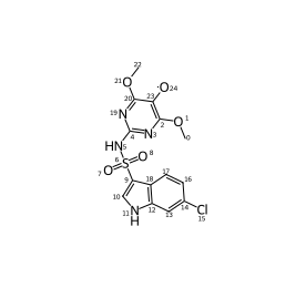 COc1nc(NS(=O)(=O)c2c[nH]c3cc(Cl)ccc23)nc(OC)c1[O]